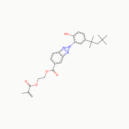 C=C(C)C(=O)OCCOC(=O)c1ccc2c(c1)n1n(-c3cc(C(C)(C)CC(C)(C)C)ccc3O)n21